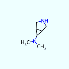 CN(C)C1C2CNCC21